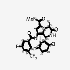 CNC(=O)c1cc(NC(=O)c2cc(F)cc(C(F)(F)F)c2)c2n1[C@@H](C)C(=O)N[C@H]2c1cc(F)ccc1Cl